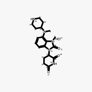 CN(c1cccc2c1n(C)c(=O)n2C1CCC(=O)NC1=O)C1CCNCC1.Cl